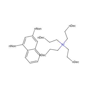 CCCCCCCCCCCC[N+](CCCCCCCCCCCC)(CCCCCCCCCCCC)CCCCCCCCCCCC.CCCCCCCCCc1cc(CCCCCCCCC)c2ccccc2c1